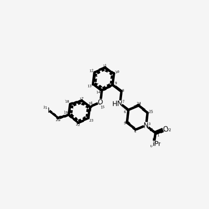 CC(C)C(=O)N1CCC(NCc2ccccc2Oc2ccc(CI)cc2)CC1